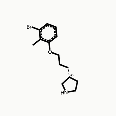 Cc1c(Br)cccc1OCCC[C@@H]1CCNC1